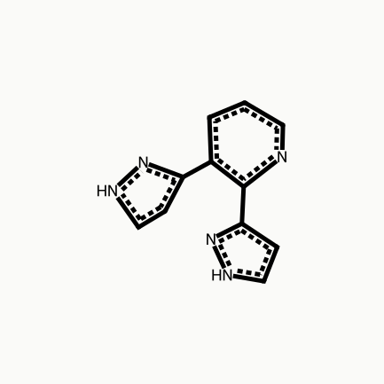 c1cnc(-c2cc[nH]n2)c(-c2cc[nH]n2)c1